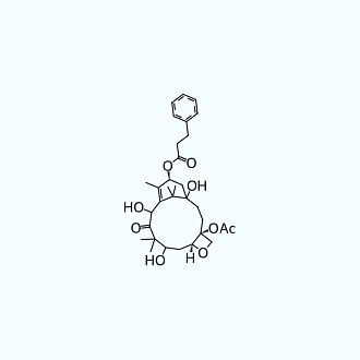 CC(=O)O[C@]12CCC3(O)C[C@H](OC(=O)CCc4ccccc4)C(C)=C(C(O)C(=O)C(C)(C)C(O)C[C@H]1OC2)C3(C)C